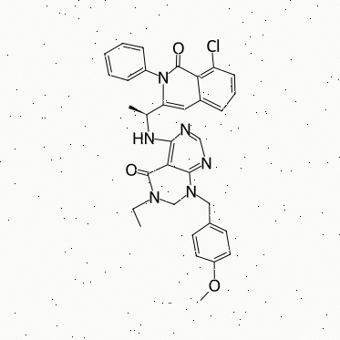 CCN1CN(Cc2ccc(OC)cc2)c2ncnc(N[C@@H](C)c3cc4cccc(Cl)c4c(=O)n3-c3ccccc3)c2C1=O